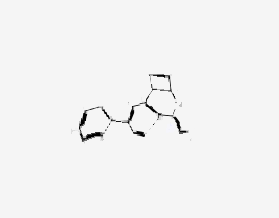 C/C=C1\NC2C=CC2c2cc(-c3ccccc3)ccc21